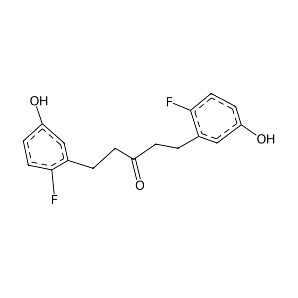 O=C(CCc1cc(O)ccc1F)CCc1cc(O)ccc1F